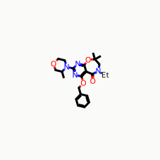 CCN1CC(C)(C)Oc2nc(N3CCOCC3C)nc(OCc3ccccc3)c2C1=O